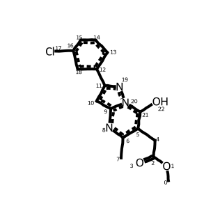 COC(=O)Cc1c(C)nc2cc(-c3cccc(Cl)c3)nn2c1O